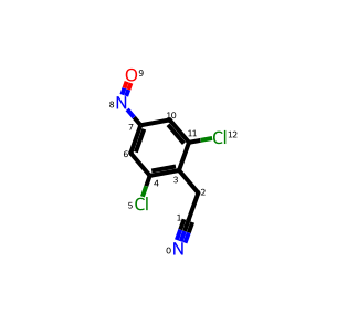 N#CCc1c(Cl)cc(N=O)cc1Cl